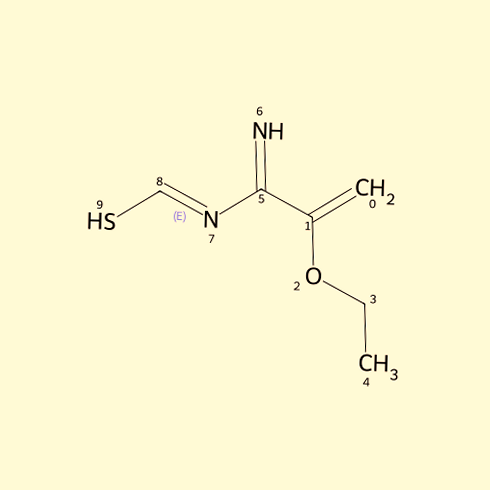 C=C(OCC)C(=N)/N=C/S